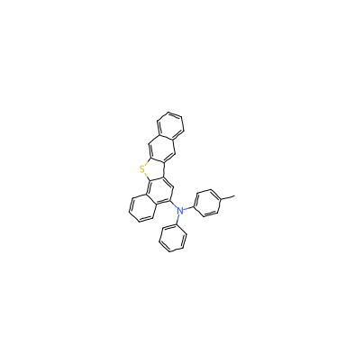 Cc1ccc(N(c2ccccc2)c2cc3c4cc5ccccc5cc4sc3c3ccccc23)cc1